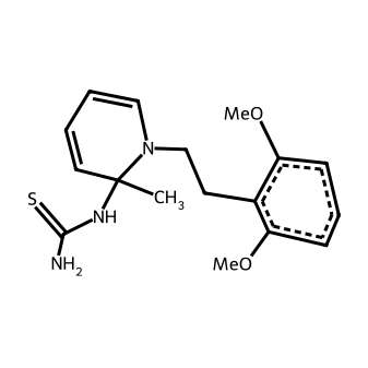 COc1cccc(OC)c1CCN1C=CC=CC1(C)NC(N)=S